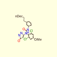 CCCCCCCCCCCCc1cccc(NC(=O)N(C2=CC(=O)N=N2)c2c(Cl)cc(OC)cc2Cl)c1